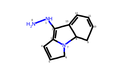 NNC1=C2C=CCN2C2CC=CC=C12